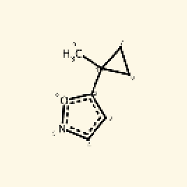 CC1(c2ccno2)CC1